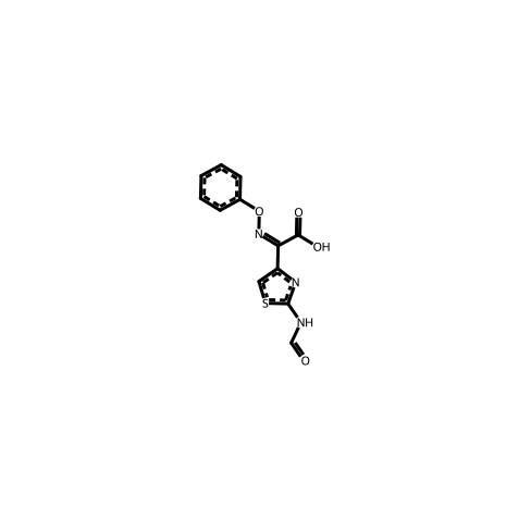 O=CNc1nc(C(=NOc2ccccc2)C(=O)O)cs1